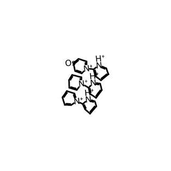 [Os].c1cc[n+](-c2cccc[nH+]2)cc1.c1cc[n+](-c2cccc[nH+]2)cc1.c1cc[n+](-c2cccc[nH+]2)cc1